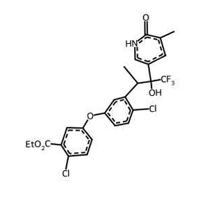 CCOC(=O)c1cc(Oc2ccc(Cl)c(C(C)C(O)(c3c[nH]c(=O)c(C)c3)C(F)(F)F)c2)ccc1Cl